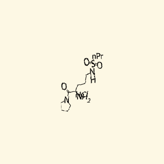 CCCS(=O)(=O)NCCCC(N)C(=O)N1CCCC1.Cl